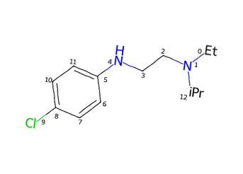 CCN(CCNc1ccc(Cl)cc1)C(C)C